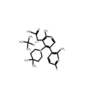 Cc1nc(F)ccc1-c1cnc(C)c([C@H](OC(C)(C)C)C(=O)O)c1N1CCC(C)(C)CC1